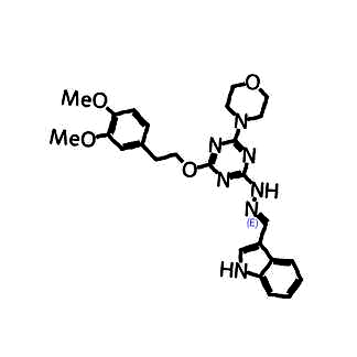 COc1ccc(CCOc2nc(N/N=C/c3c[nH]c4ccccc34)nc(N3CCOCC3)n2)cc1OC